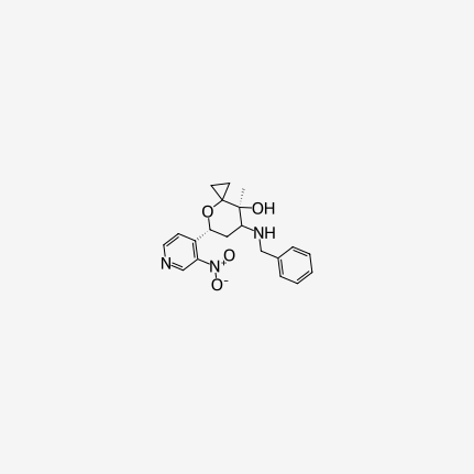 C[C@]1(O)C(NCc2ccccc2)C[C@H](c2ccncc2[N+](=O)[O-])OC12CC2